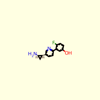 N[C@H]1C[C@@H]1c1ccc(-c2cc(O)ccc2F)nc1